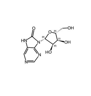 O=c1[nH]c2cncnc2n1[C@@H]1O[C@H](CO)[C@@H](O)[C@H]1O